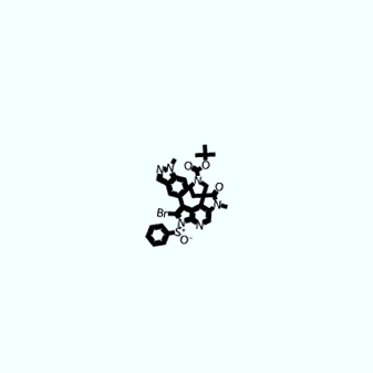 CN1C(=O)C2(CCN(C(=O)OC(C)(C)C)C2)c2c1cnc1c2c(-c2ccc3c(cnn3C)c2)c(Br)n1[S+]([O-])c1ccccc1